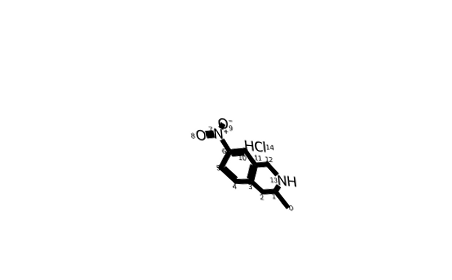 CC1Cc2ccc([N+](=O)[O-])cc2CN1.Cl